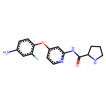 Nc1ccc(Oc2ccnc(NC(=O)C3CCCN3)c2)c(F)c1